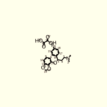 CN(C)CCC(Oc1cccc2c1OCO2)c1ccc(F)cc1.O=C(O)C(=O)O